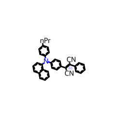 CCCc1ccc(N(c2ccc(/C(C#N)=C(\C#N)c3ccccc3)cc2)c2cccc3ccccc23)cc1